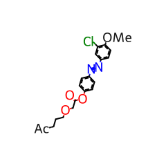 COc1ccc(N=Nc2ccc(OC(=O)COCCCC(C)=O)cc2)cc1Cl